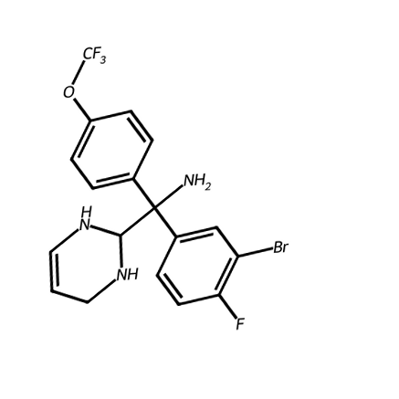 NC(c1ccc(OC(F)(F)F)cc1)(c1ccc(F)c(Br)c1)C1NC=CCN1